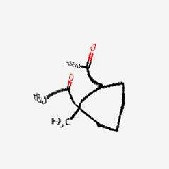 CC(C)(C)C(=O)C1CCCCC1(C)C(=O)C(C)(C)C